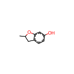 CC1Cc2ccc(O)cc2O1